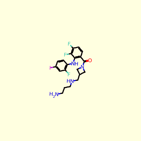 NCCCNCC1CN(C(=O)c2ccc(F)c(F)c2Nc2ccc(I)cc2F)C1